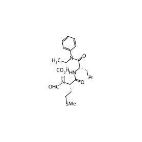 CSCC[C@H](NC=O)C(=O)N[C@@H](CC(C)C)C(=O)N(c1ccccc1)[C@@H](C)C(=O)O